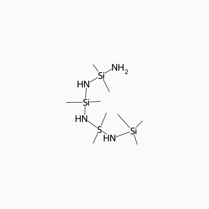 C[Si](C)(C)NS(C)(C)N[Si](C)(C)N[Si](C)(C)N